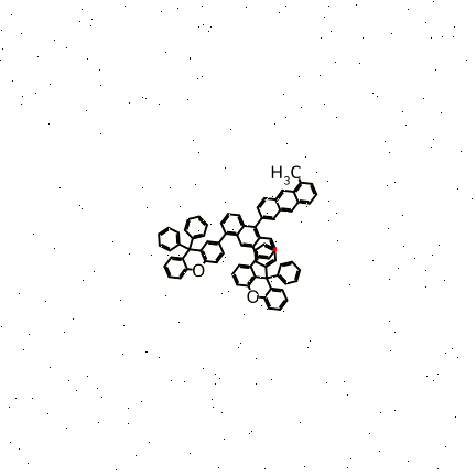 Cc1cccc2cc3cc(-c4c5cccc(-c6ccc7c(c6)C(c6ccccc6)(c6ccccc6)c6ccccc6O7)c5cc5c(-c6cccc7c6C(c6ccccc6)(c6ccccc6)c6ccccc6O7)cccc45)ccc3cc12